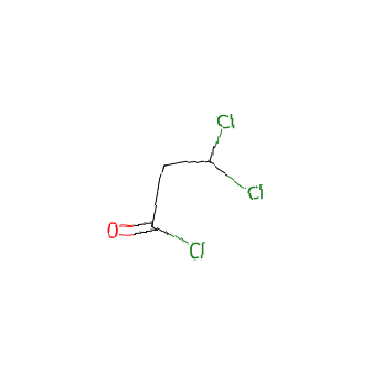 O=C(Cl)CC(Cl)Cl